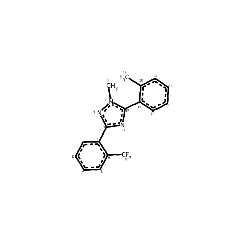 Cn1nc(-c2ccccc2C(F)(F)F)nc1-c1ccccc1C(F)(F)F